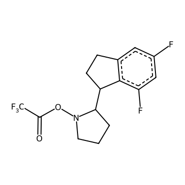 O=C(ON1CCCC1C1CCc2cc(F)cc(F)c21)C(F)(F)F